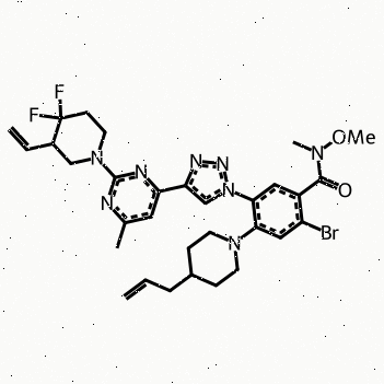 C=CCC1CCN(c2cc(Br)c(C(=O)N(C)OC)cc2-n2cc(-c3cc(C)nc(N4CCC(F)(F)C(C=C)C4)n3)nn2)CC1